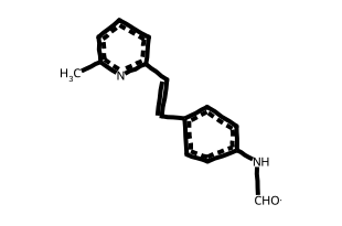 Cc1cccc(C=Cc2ccc(N[C]=O)cc2)n1